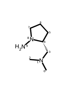 CN(C)C[C@H]1CCCN1N